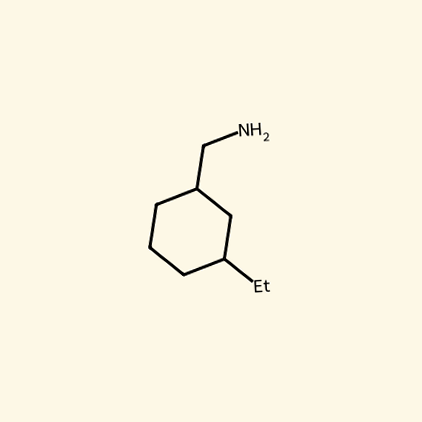 CCC1CCCC(CN)C1